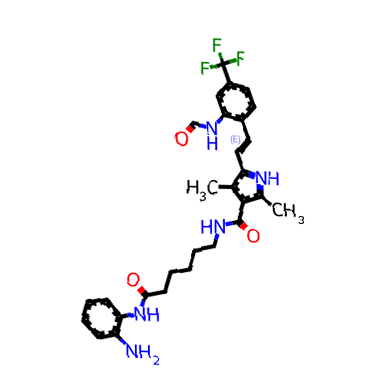 Cc1[nH]c(/C=C/c2ccc(C(F)(F)F)cc2NC=O)c(C)c1C(=O)NCCCCCC(=O)Nc1ccccc1N